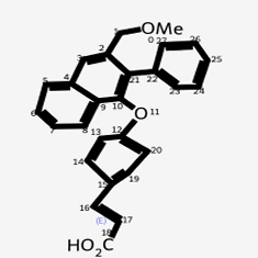 COCc1cc2ccccc2c(Oc2ccc(/C=C/C(=O)O)cc2)c1-c1ccccc1